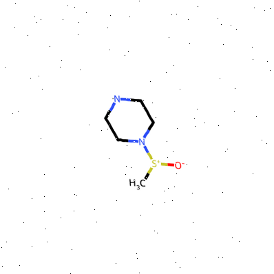 C[S+]([O-])N1CC[N]CC1